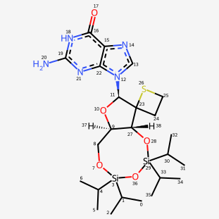 CC(C)[Si]1(C(C)C)OC[C@H]2O[C@@H](n3cnc4c(=O)[nH]c(N)nc43)C3(CCS3)[C@@H]2O[Si](C(C)C)(C(C)C)O1